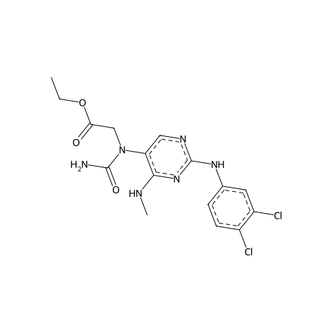 CCOC(=O)CN(C(N)=O)c1cnc(Nc2ccc(Cl)c(Cl)c2)nc1NC